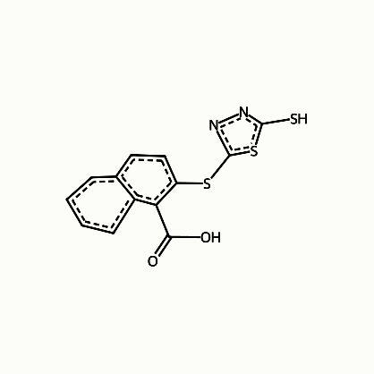 O=C(O)c1c(Sc2nnc(S)s2)ccc2ccccc12